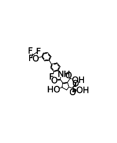 O=C(O)C1=C(C(=O)Nc2ccc(-c3cccc(OC(F)(F)F)c3)cc2F)C(O)CC1S(=O)(=O)O